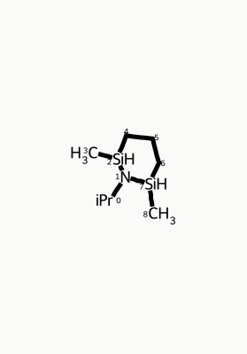 CC(C)N1[SiH](C)CCC[SiH]1C